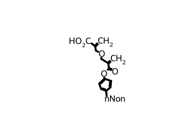 C=C(COCC(=C)C(=O)Oc1ccc(CCCCCCCCC)cc1)C(=O)O